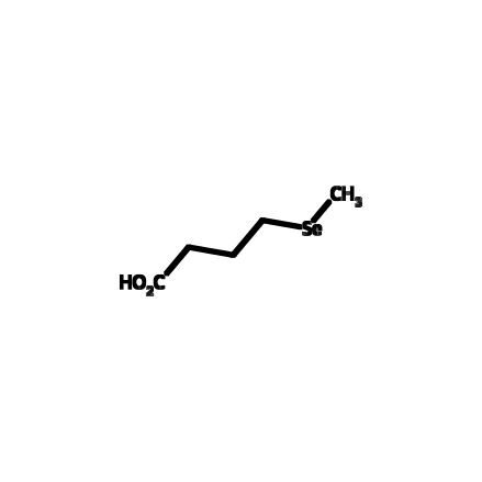 C[Se]CCCC(=O)O